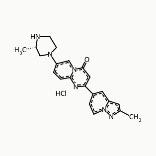 Cc1cc2cc(-c3cc(=O)n4cc(N5CCN[C@@H](C)C5)ccc4n3)ccn2n1.Cl